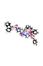 CC(C)(C)OC(=O)N1CC(N(OCc2ccccc2)S(=O)(=O)c2ccccc2[N+](=O)[O-])CCC1c1noc(C2CCN(C(=O)OCC3c4ccccc4-c4ccccc43)CC2)n1